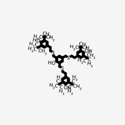 CC(C)(C)c1cc(CCSCc2cc(CSCCc3cc(C(C)(C)C)c(O)c(C(C)(C)C)c3)c(O)c(CSCCc3cc(C(C)(C)C)c(O)c(C(C)(C)C)c3)c2)cc(C(C)(C)C)c1O